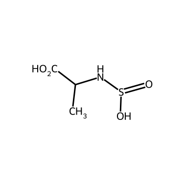 CC(NS(=O)O)C(=O)O